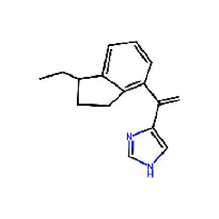 C=C(c1c[nH]cn1)c1cccc2c1CCC2CC